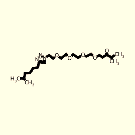 CC(C)CCCCc1cn(CCOCCOCCOCCOCCC(=O)C(C)C)nn1